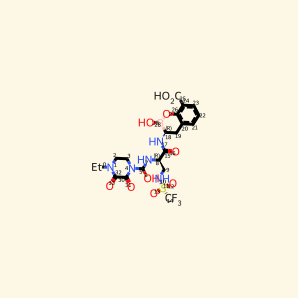 CCN1CCN(C(O)N[C@H](CNS(=O)(=O)C(F)(F)F)C(=O)N[C@H]2Cc3cccc(C(=O)O)c3OB2O)C(=O)C1=O